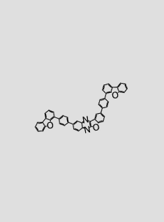 c1ccc2c(c1)oc1c(-c3ccc(-c4ccc5nc6oc7ccc(-c8ccc(-c9cccc%10c9oc9ccccc9%10)cc8)cc7c6nc5c4)cc3)cccc12